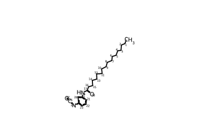 CCCCCCCCCCCCCCCCCC(=O)Nc1cccc(N=C=O)c1